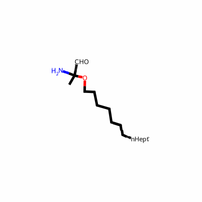 CCCCCCCCCCCCCCOC(C)(N)C=O